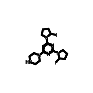 IC1CCCN1c1cc(N2CCNCC2)nc(N2CCCC2I)n1